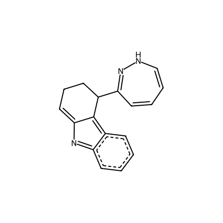 C1=CNN=C(C2CCC=C3N=c4ccccc4=C32)C=C1